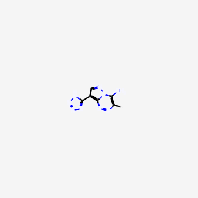 Nc1c([N+](=O)[O-])nnc2c(-c3nnn[nH]3)cnn12